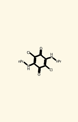 CCCNC1=C(Cl)C(=O)C(NCCC)=C(Cl)C1=O